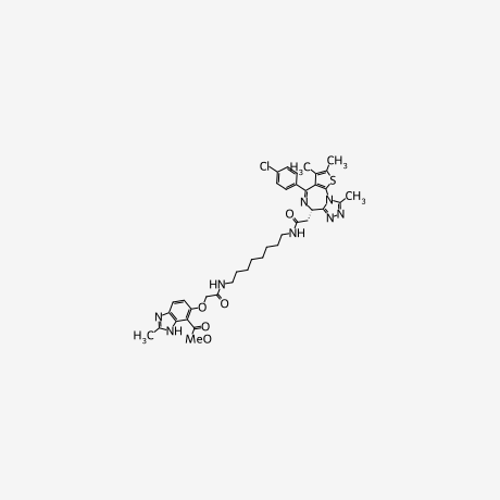 COC(=O)c1c(OCC(=O)NCCCCCCCCNC(=O)C[C@@H]2N=C(c3ccc(Cl)cc3)c3c(sc(C)c3C)-n3c(C)nnc32)ccc2nc(C)[nH]c12